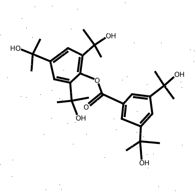 CC(C)(O)c1cc(C(=O)Oc2c(C(C)(C)O)cc(C(C)(C)O)cc2C(C)(C)O)cc(C(C)(C)O)c1